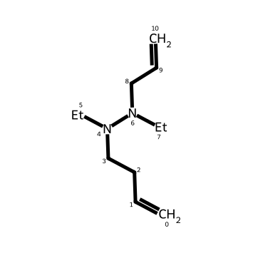 C=CCCN(CC)N(CC)CC=C